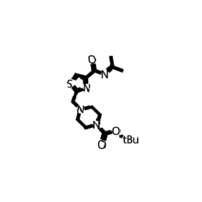 CC(C)=NC(=O)c1csc(CN2CCN(C(=O)OC(C)(C)C)CC2)n1